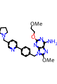 COCCOc1nc(N)c2nc(OC)n(Cc3ccc(-c4ccc(CN5CCCC5)cn4)cc3)c2n1